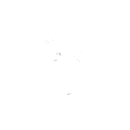 CC1C(OC(=O)C(CCCCCC(=O)O)C2CCN(C)C(C)(C)C2C)CCN(C)C1(C)C